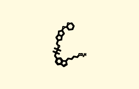 CC(C)(Cc1ccc2c(c1)C(CCCCC(=O)O)C=C2)[Si](C)(C)OCC1CC2CC(OC3CCCCO3)CC2C1